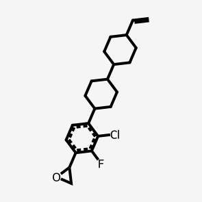 C=CC1CCC(C2CCC(c3ccc(C4CO4)c(F)c3Cl)CC2)CC1